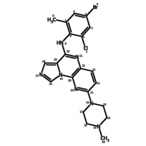 Cc1cc(Br)cc(Cl)c1Nc1nc2ccc(N3CCN(C)CC3)nc2n2cncc12